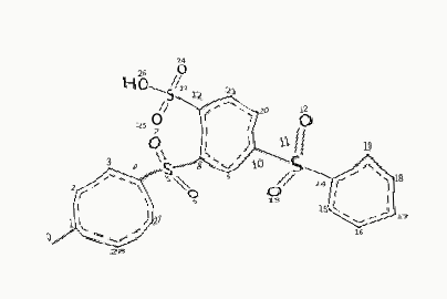 Cc1ccc(S(=O)(=O)c2cc(S(=O)(=O)c3ccccc3)ccc2S(=O)(=O)O)cc1